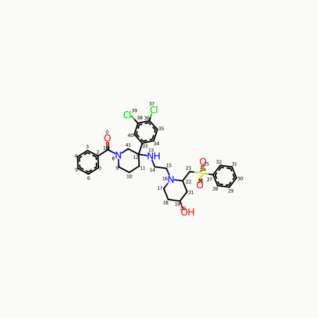 O=C(c1ccccc1)N1CCCC(NCCN2CCC(O)CC2CS(=O)(=O)c2ccccc2)(c2ccc(Cl)c(Cl)c2)C1